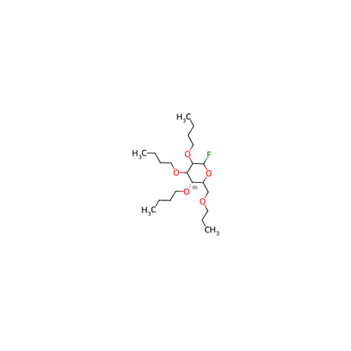 CCCCOC1C(F)OC(COCCC)[C@H](OCCCC)C1OCCCC